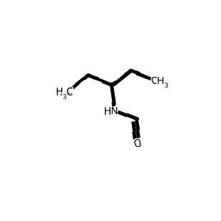 CC[C](CC)NC=O